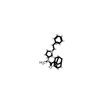 CN(C(=O)C12CC3CC(CC(C3)C1)C2)[C@H]1CCN(CCc2ccccc2)C1